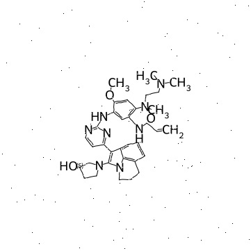 C=CC(=O)Nc1cc(Nc2nccc(-c3c(N4CC[C@H](O)C4)n4c5c(cccc35)CCC4)n2)c(OC)cc1N(C)CCN(C)C